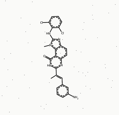 CC(=Cc1cccc(N)c1)c1nc2ccc3nc(Nc4c(Cl)cccc4Cl)n(C)c3c2c(=O)[nH]1